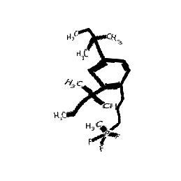 CCC(C)(C)c1ccc(CCCP(C)(F)(F)F)c(C(C)(C)CC)c1